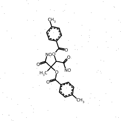 Cc1ccc(C(=O)OC(C(=O)N=O)C(C)(OC(=O)c2ccc(C)cc2)C(=O)N=O)cc1